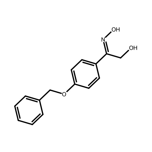 OCC(=NO)c1ccc(OCc2ccccc2)cc1